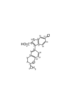 C[C@H]1CCc2cc(-c3c(C(=O)O)sc4cc(Cl)ccc34)ccc2O1